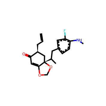 C=CC[C@H]1C[C@]2(C(C)Cc3ccc(NC)c(F)c3)OCOC2=CC1=O